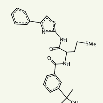 CSCCC(NC(=O)c1cccc(C(C)(C)O)c1)C(=O)Nc1nc(-c2ccccc2)cs1